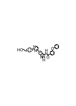 O=C(Nc1[nH]nc2c1CN(c1ccnc(N3CCN(CCO)CC3)n1)C2)c1cccc(Oc2ccccc2)c1